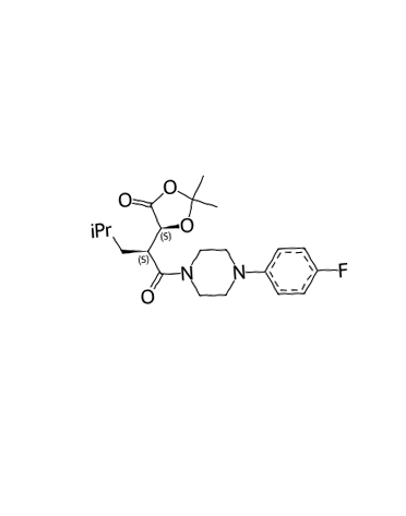 CC(C)C[C@H](C(=O)N1CCN(c2ccc(F)cc2)CC1)[C@@H]1OC(C)(C)OC1=O